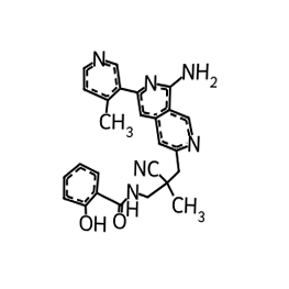 Cc1ccncc1-c1cc2cc(CC(C)(C#N)CNC(=O)c3ccccc3O)ncc2c(N)n1